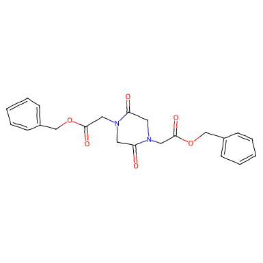 O=C(CN1CC(=O)N(CC(=O)OCc2ccccc2)CC1=O)OCc1ccccc1